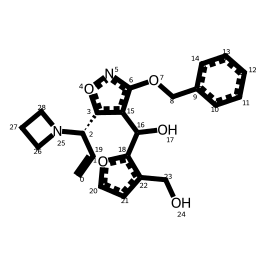 C=C[C@@H](c1onc(OCc2ccccc2)c1C(O)c1occc1CO)N1CCC1